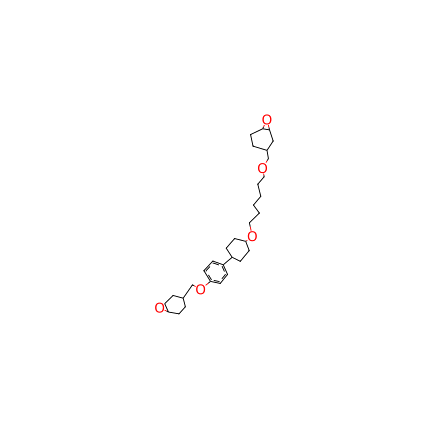 c1cc(C2CCC(OCCCCCCOCC3CCC4OC4C3)CC2)ccc1OCC1CCC2OC2C1